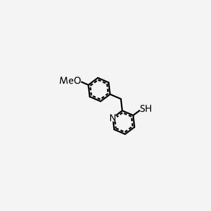 COc1ccc(Cc2ncccc2S)cc1